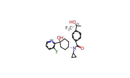 C[C@](O)(c1ccc(C(=O)N(C2CC2)[C@H]2CC[C@@](O)(c3ncccc3F)CC2)cc1)C(F)(F)F